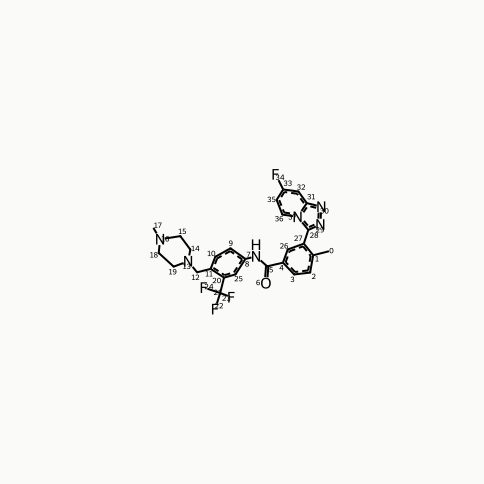 Cc1ccc(C(=O)Nc2ccc(CN3CCN(C)CC3)c(C(F)(F)F)c2)cc1-c1nnc2cc(F)ccn12